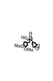 COc1ccc(CC2(CO)CNCC2c2ccc3c(c2)OCO3)cc1OC